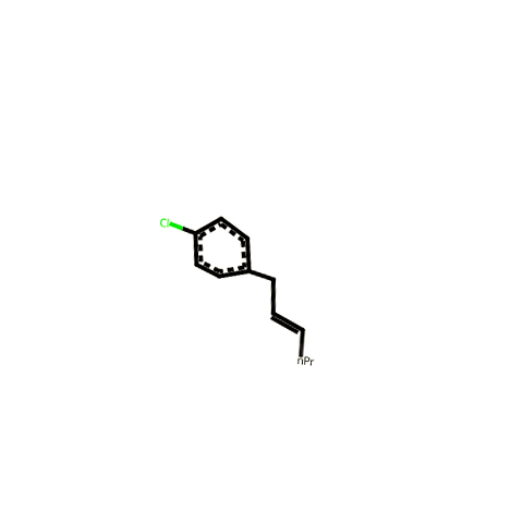 [CH2]CCC=CCc1ccc(Cl)cc1